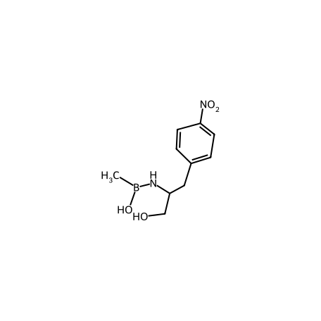 CB(O)NC(CO)Cc1ccc([N+](=O)[O-])cc1